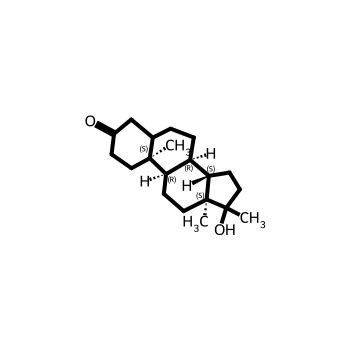 CC1(O)CC[C@H]2[C@@H]3CCC4CC(=O)CC[C@]4(C)[C@@H]3CC[C@@]21C